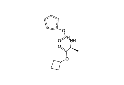 C[C@H](N[PH](=O)Oc1ccccc1)C(=O)OC1CCC1